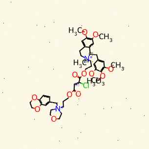 COc1cc2c(cc1OC)[C@@H](Cc1cc(OC)c(OC)c(OC)c1)[N@+](C)(CCCOC(=O)/C(Cl)=C/C(=O)OCCC[N+]1(Cc3ccc4c(c3)OCCO4)CCOCC1)CC2